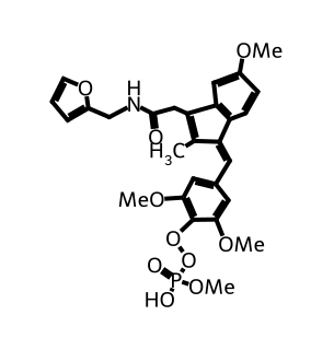 COc1ccc2c(c1)C(CC(=O)NCc1ccco1)=C(C)C2=Cc1cc(OC)c(OOP(=O)(O)OC)c(OC)c1